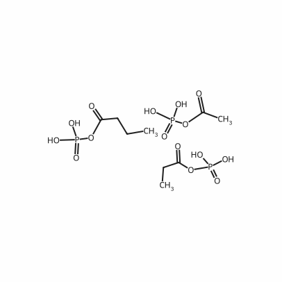 CC(=O)OP(=O)(O)O.CCC(=O)OP(=O)(O)O.CCCC(=O)OP(=O)(O)O